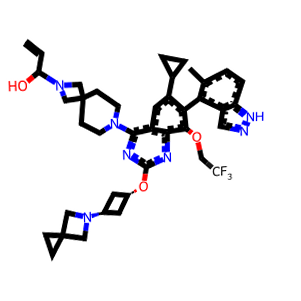 C=CC(O)N1CC2(CCN(c3nc(O[C@H]4C[C@H](N5CC6(CC6)C5)C4)nc4c(OCC(F)(F)F)c(-c5c(C)ccc6[nH]ncc56)c(C5CC5)cc34)CC2)C1